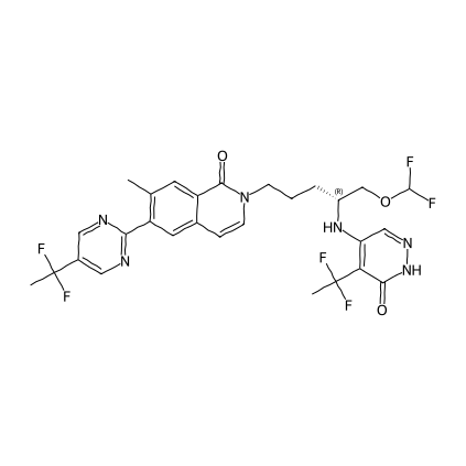 Cc1cc2c(=O)n(CCC[C@H](COC(F)F)Nc3cn[nH]c(=O)c3C(C)(F)F)ccc2cc1-c1ncc(C(C)(F)F)cn1